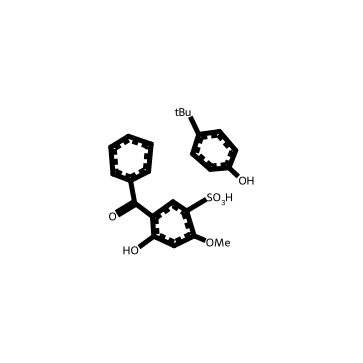 CC(C)(C)c1ccc(O)cc1.COc1cc(O)c(C(=O)c2ccccc2)cc1S(=O)(=O)O